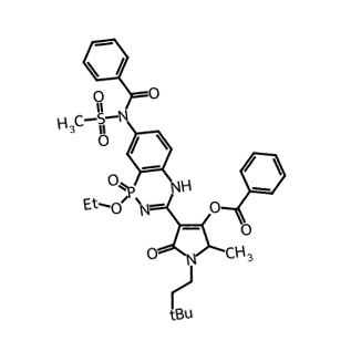 CCOP1(=O)N=C(C2=C(OC(=O)c3ccccc3)C(C)N(CCC(C)(C)C)C2=O)Nc2ccc(N(C(=O)c3ccccc3)S(C)(=O)=O)cc21